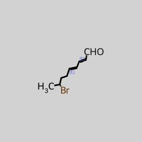 CC(Br)CC/C=C/C=C/C=O